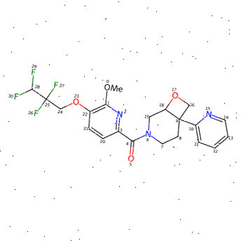 COc1nc(C(=O)N2CCC3(c4ccccn4)COC3C2)ccc1OCC(F)(F)C(F)F